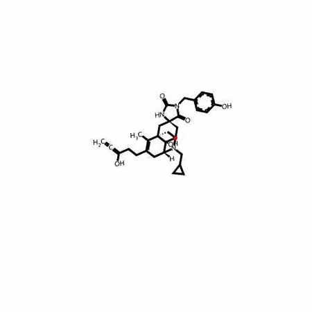 C=C=C(O)CCC1=C(C)[C@]23CCN(CC4CC4)[C@H](C1)[C@]2(O)CC[C@@]1(C3)NC(=O)N(Cc2ccc(O)cc2)C1=O